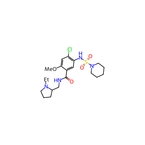 CCN1CCCC1CNC(=O)c1cc(NS(=O)(=O)N2CCCCC2)c(Cl)cc1OC